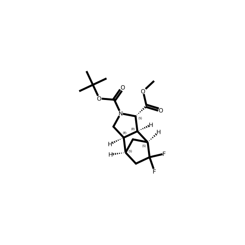 COC(=O)[C@@H]1[C@@H]2[C@H](CN1C(=O)OC(C)(C)C)[C@H]1C[C@@H]2C(F)(F)C1